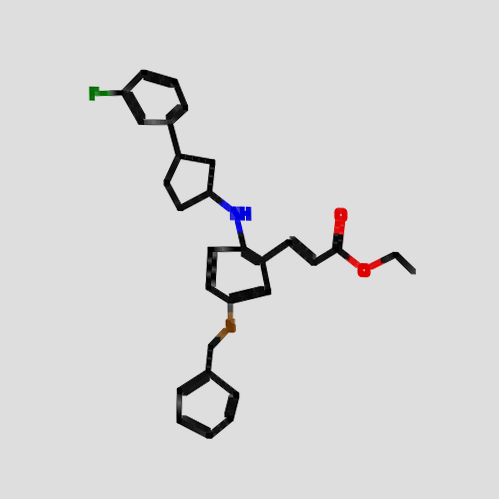 CCOC(=O)/C=C/c1cc(SCc2ccccc2)ccc1NC1CCC(c2cccc(F)c2)C1